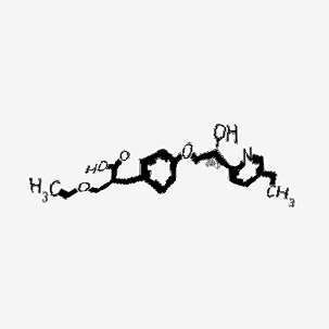 CCOCC(Cc1ccc(OC[C@H](O)c2ccc(CC)cn2)cc1)C(=O)O